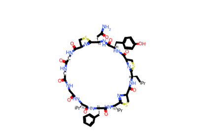 CC(C)C[C@H]1NC(=O)C2CSC(=N2)[C@H](C(C)C)NC(=O)[C@H](Cc2ccccc2)NC(=O)[C@H](C(C)C)NC(=O)CNC(=O)CNC(=O)CNC(=O)C2CSC(=N2)[C@H](CC(N)=O)NC(=O)[C@@H](Cc2ccc(O)cc2)NC(=O)C2CSC1=N2